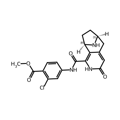 COC(=O)c1ccc(NC(=O)c2[nH]c(=O)cc3c2[C@H]2CC[C@@H](C3)N2)cc1Cl